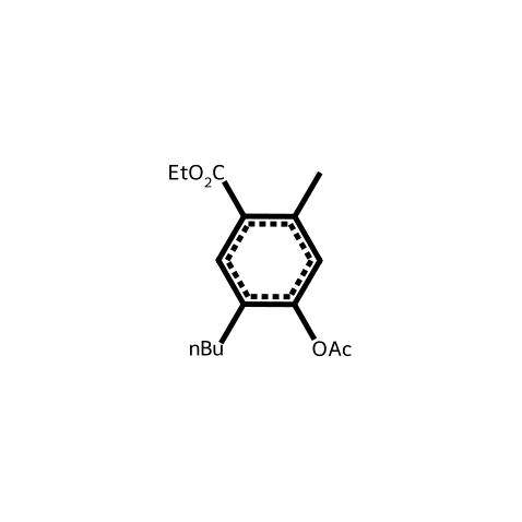 CCCCc1cc(C(=O)OCC)c(C)cc1OC(C)=O